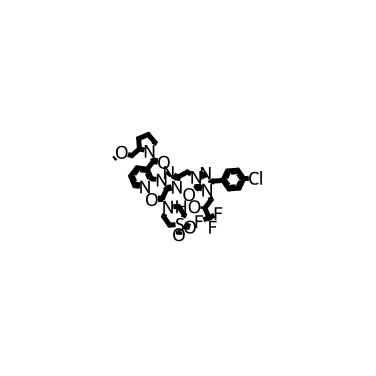 COCC1CCCN1C(=O)c1cccnc1-n1nc(Cn2nc(-c3ccc(Cl)cc3)n(C[C@H](O)C(F)(F)F)c2=O)nc1C(=O)N1CCS(=O)(=O)CC1